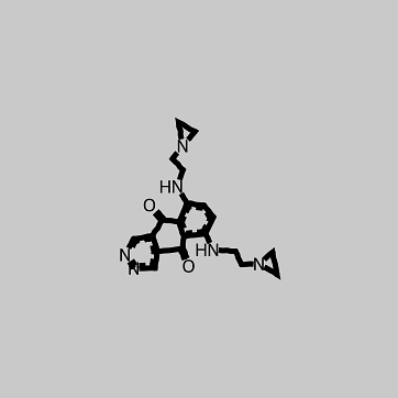 O=C1c2cnncc2C(=O)c2c(NCCN3CC3)ccc(NCCN3CC3)c21